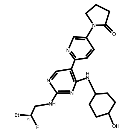 CC[C@H](F)CNc1ncc(-c2ccc(N3CCCC3=O)cn2)c(NC2CCC(O)CC2)n1